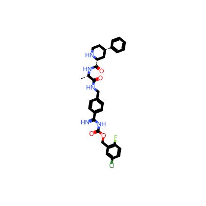 C[C@H](NC(=O)[C@H]1C[C@@H](c2ccccc2)CCN1)C(=O)NCc1ccc(C(=N)NC(=O)OCc2cc(Cl)ccc2F)cc1